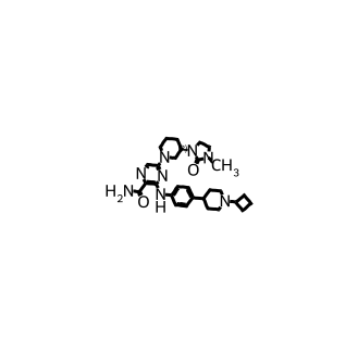 CN1CCN([C@@H]2CCCN(c3cnc(C(N)=O)c(Nc4ccc(C5CCN(C6CCC6)CC5)cc4)n3)C2)C1=O